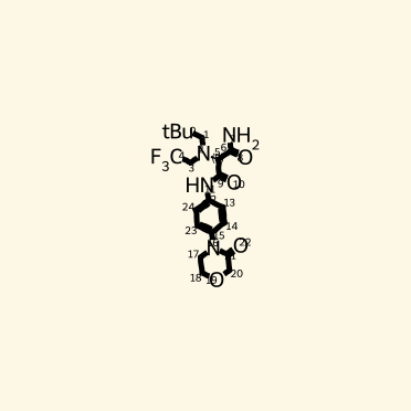 CC(C)(C)CN(CC(F)(F)F)[C@H](C(N)=O)C(=O)Nc1ccc(N2CCOCC2=O)cc1